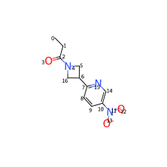 CCC(=O)N1CC(c2ccc([N+](=O)[O-])cn2)C1